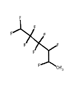 CC(F)C(F)C(F)(F)C(F)(F)C(F)F